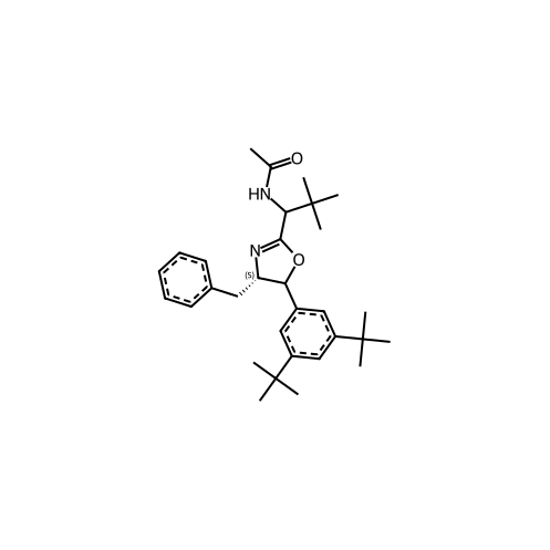 CC(=O)NC(C1=N[C@@H](Cc2ccccc2)C(c2cc(C(C)(C)C)cc(C(C)(C)C)c2)O1)C(C)(C)C